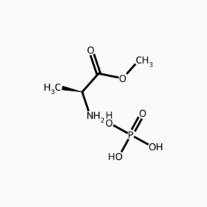 COC(=O)[C@H](C)N.O=P(O)(O)O